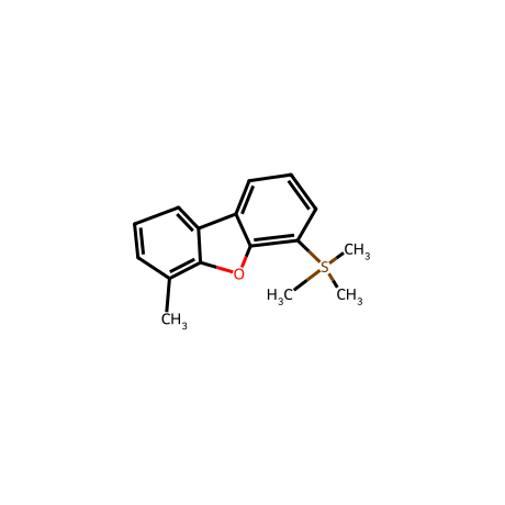 Cc1cccc2c1oc1c(S(C)(C)C)cccc12